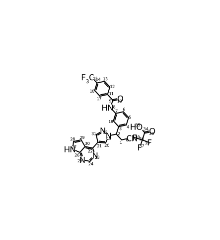 N#CCC(c1cccc(NC(=O)c2ccc(C(F)(F)F)cc2)c1)n1cc(-c2ncnc3[nH]ccc23)cn1.O=C(O)C(F)(F)F